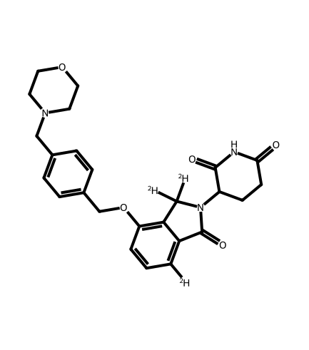 [2H]c1ccc(OCc2ccc(CN3CCOCC3)cc2)c2c1C(=O)N(C1CCC(=O)NC1=O)C2([2H])[2H]